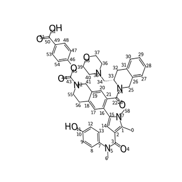 Cc1c(C(=O)N(C)c2ccc(O)cc2)cc(-c2cc3c(cc2C(=O)N2Cc4ccccc4C[C@H]2CN2CCOCC2)CN(C(=O)Oc2ccc(C(=O)O)cc2)CC3)n1C